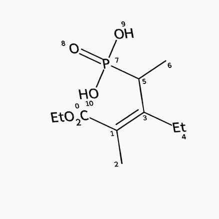 CCOC(=O)C(C)=C(CC)C(C)P(=O)(O)O